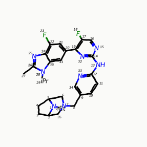 CCN1C2CCC1CN(Cc1ccc(Nc3ncc(F)c(-c4cc(F)c5nc(C)n(C(C)C)c5c4)n3)nc1)C2